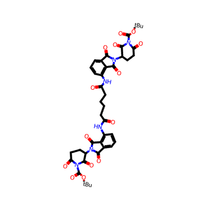 CC(C)(C)OC(=O)N1C(=O)CCC(N2C(=O)c3cccc(NC(=O)CCCCC(=O)Nc4cccc5c4C(=O)N(C4CCC(=O)N(C(=O)OC(C)(C)C)C4=O)C5=O)c3C2=O)C1=O